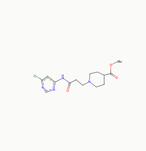 CC(C)(C)OC(=O)C1CCN(CCC(=O)Nc2cc(Cl)ncn2)CC1